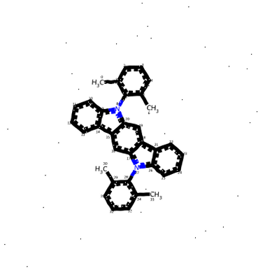 Cc1cccc(C)c1-n1c2ccccc2c2cc3c(cc21)c1ccccc1n3-c1c(C)cccc1C